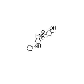 Cc1ccc(S(=O)(=O)Nc2ccc(Nc3ccccc3)cc2)cc1O